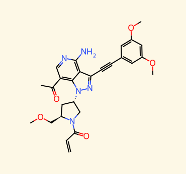 C=CC(=O)N1C[C@@H](n2nc(C#Cc3cc(OC)cc(OC)c3)c3c(N)ncc(C(C)=O)c32)C[C@@H]1COC